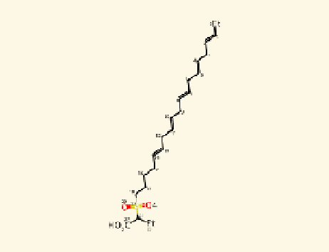 CCC=CCC=CCC=CCC=CCC=CCCCCS(=O)(=O)C(CC)C(=O)O